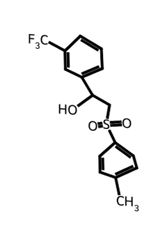 Cc1ccc(S(=O)(=O)CC(O)c2cccc(C(F)(F)F)c2)cc1